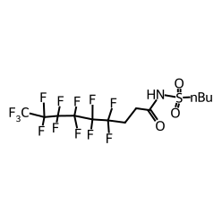 CCCCS(=O)(=O)NC(=O)CCC(F)(F)C(F)(F)C(F)(F)C(F)(F)C(F)(F)C(F)(F)F